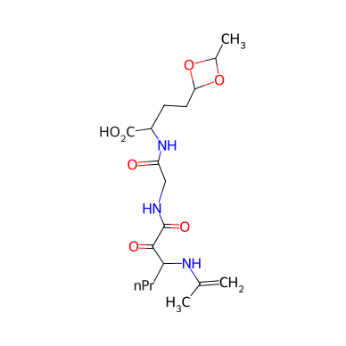 C=C(C)NC(CCC)C(=O)C(=O)NCC(=O)NC(CCC1OC(C)O1)C(=O)O